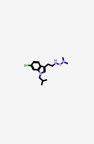 CC(C)Cn1cc(CCNSN(C)C)c2ccc(Br)cc21